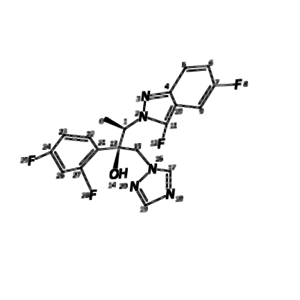 C[C@@H](n1nc2ccc(F)cc2c1F)[C@](O)(Cn1cncn1)c1ccc(F)cc1F